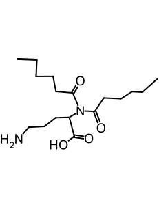 CCCCCC(=O)N(C(=O)CCCCC)C(CCCN)C(=O)O